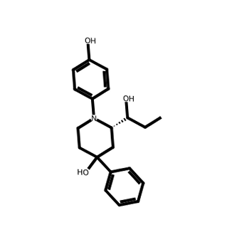 CCC(O)[C@@H]1CC(O)(c2ccccc2)CCN1c1ccc(O)cc1